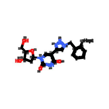 CCCCCCCc1ccccc1Cn1cc(-c2cn([C@H]3C[C@H](O)[C@@H](CO)O3)c(=O)[nH]c2=O)nn1